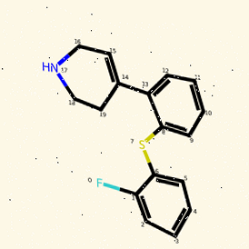 Fc1ccccc1Sc1ccccc1C1=CCNCC1